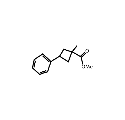 COC(=O)C1(C)CC(c2ccccc2)C1